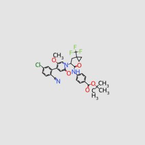 COc1cn(C(CC2(C(F)(F)F)CC2)C(=O)Nc2ccc(C(=O)OC(C)(C)C)cc2)c(=O)cc1-c1cc(Cl)ccc1C#N